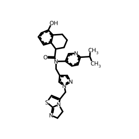 CC(C)c1ccc(N(Cc2cnn(CC3=CSC4=NCCN34)c2)C(=O)C2CCCc3c(O)cccc32)cn1